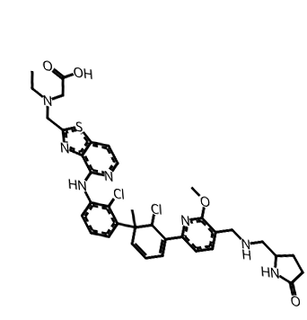 CCN(CC(=O)O)Cc1nc2c(Nc3cccc(C4(C)C=CC=C(c5ccc(CNCC6CCC(=O)N6)c(OC)n5)C4Cl)c3Cl)nccc2s1